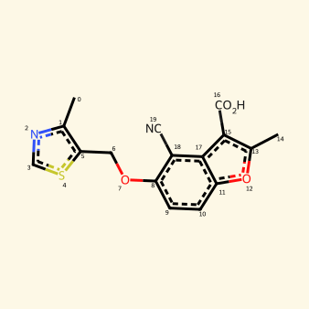 Cc1ncsc1COc1ccc2oc(C)c(C(=O)O)c2c1C#N